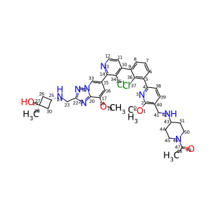 COc1nc(-c2cccc(-c3ccnc(-c4cc(OC)c5nc(CN[C@H]6C[C@](C)(O)C6)nn5c4)c3Cl)c2Cl)ccc1CNC1CCN(C(C)=O)CC1